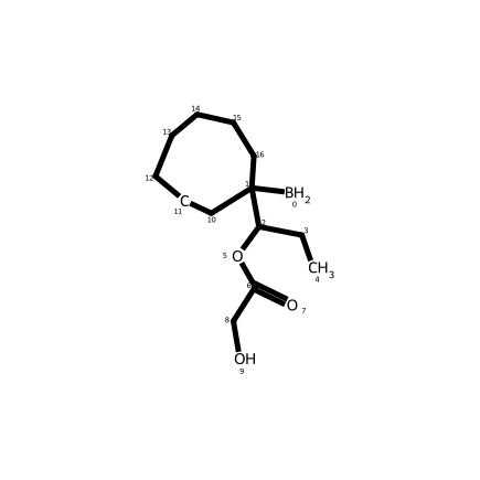 BC1(C(CC)OC(=O)CO)CCCCCCC1